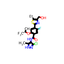 CCc1sc(-c2cc(O[C@@H](C)C(F)(F)F)c(C(=O)Nc3c(Cl)n[nH]c3C)cc2F)nc1CO